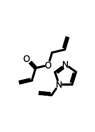 C=CCOC(=O)C=C.C=Cn1ccnc1